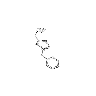 CCOC(=O)Cc1cn(Cc2ccccc2)cn1